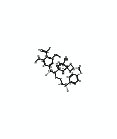 COc1cc([C@@H](C)N(CCO[C@@H](C)c2ccccc2)C(=O)N[C@]2(C(=O)O)C[C@@H](OC)C2)cc(OC)c1C(C)=O